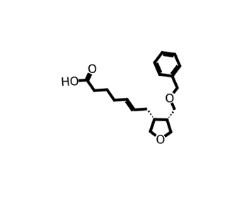 O=C(O)CCCC=CC[C@H]1COC[C@H]1COCc1ccccc1